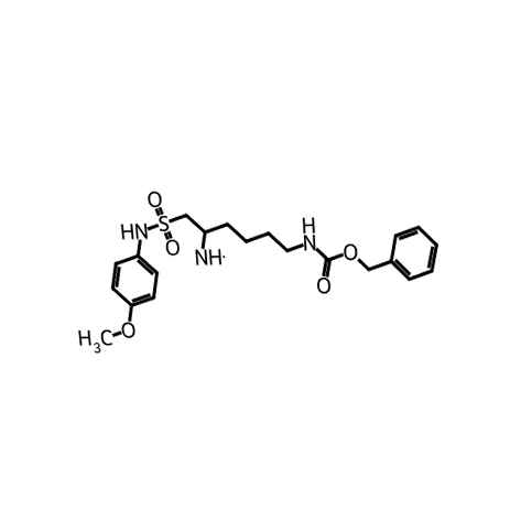 COc1ccc(NS(=O)(=O)CC([NH])CCCCNC(=O)OCc2ccccc2)cc1